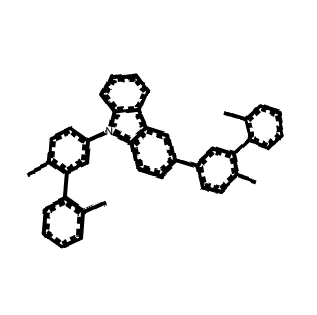 Cc1ccccc1-c1cc(-c2ccc3c(c2)c2ccccc2n3-c2ccc(C)c(-c3ccccc3C)c2)ccc1C